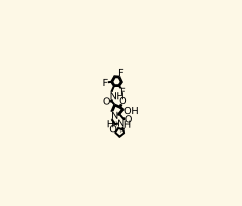 O=C(NCc1c(F)cc(F)cc1F)c1cn2c(c(O)c1=O)C(=O)N1[C@H]3CCC(C3)O[C@H]1C2